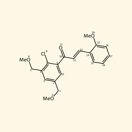 COCc1cc(COC)c(Cl)c(C(=O)/C=C/c2ccccc2OC)c1